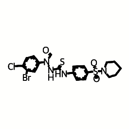 O=CN(NC(=S)Nc1ccc(S(=O)(=O)N2CCCCC2)cc1)c1ccc(Cl)c(Br)c1